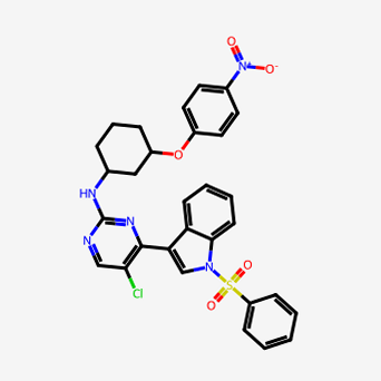 O=[N+]([O-])c1ccc(OC2CCCC(Nc3ncc(Cl)c(-c4cn(S(=O)(=O)c5ccccc5)c5ccccc45)n3)C2)cc1